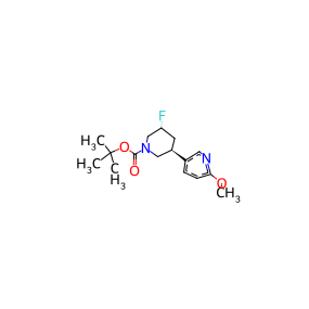 COc1ccc([C@@H]2C[C@@H](F)CN(C(=O)OC(C)(C)C)C2)cn1